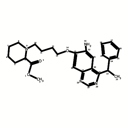 COC(=O)C1CCCCN1CCCCOc1cc2ncnc(C(C)c3ccccc3)c2cc1N